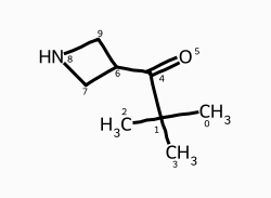 CC(C)(C)C(=O)C1CNC1